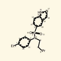 CCc1ccc(N(CCC(C)C)S(=O)(=O)c2ccc3[nH]ncc3c2)cc1